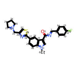 CCn1cc(C(=O)/N=C/c2ccc(F)cc2)c2cc(-c3nc(CN4CCCC4)cs3)ccc21